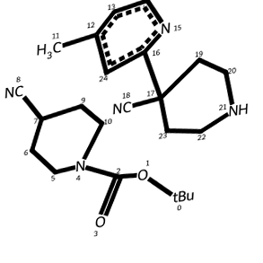 CC(C)(C)OC(=O)N1CCC(C#N)CC1.Cc1ccnc(C2(C#N)CCNCC2)c1